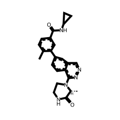 Cc1ccc(C(=O)NC2CC2)cc1-c1ccc2c(N3CCNC(=O)[C@H]3C)nncc2c1